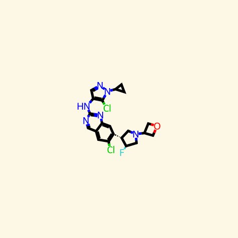 F[C@@H]1CN(C2COC2)C[C@H]1c1cc2nc(Nc3cnn(C4CC4)c3Cl)ncc2cc1Cl